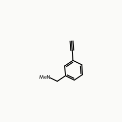 C#Cc1cccc(CNC)c1